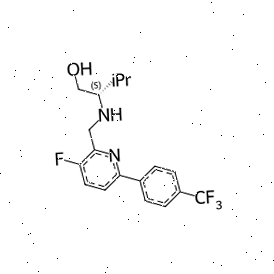 CC(C)[C@@H](CO)NCc1nc(-c2ccc(C(F)(F)F)cc2)ccc1F